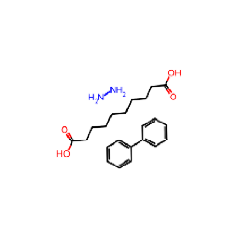 NN.O=C(O)CCCCCCCCC(=O)O.c1ccc(-c2ccccc2)cc1